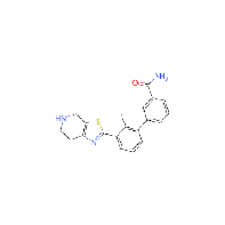 Cc1c(-c2cccc(C(N)=O)c2)cccc1-c1nc2c(s1)CNCC2